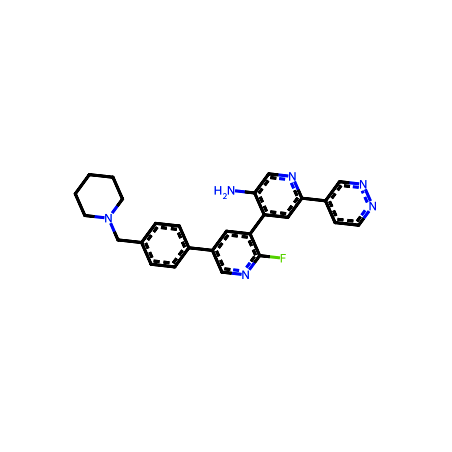 Nc1cnc(-c2ccnnc2)cc1-c1cc(-c2ccc(CN3CCCCC3)cc2)cnc1F